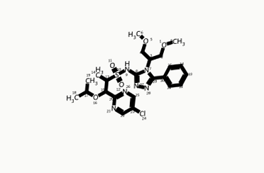 COCC(COC)n1c(NS(=O)(=O)C(C)C(OC(C)C)c2ncc(Cl)cn2)nnc1-c1ccccc1